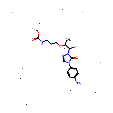 CC(C)C(C(C)OCCCNC(=O)OC(C)(C)C)n1ncn(-c2ccc(N)cc2)c1=O